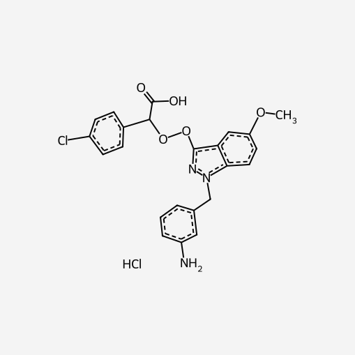 COc1ccc2c(c1)c(OOC(C(=O)O)c1ccc(Cl)cc1)nn2Cc1cccc(N)c1.Cl